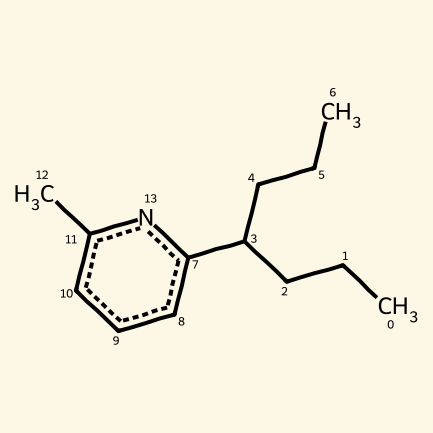 CCCC(CCC)c1cccc(C)n1